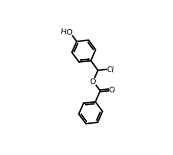 O=C(OC(Cl)c1ccc(O)cc1)c1ccccc1